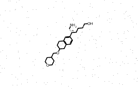 NC[C@H](CCCCO)c1ccc2c(c1)CCC(OCC1CCOCC1)C2